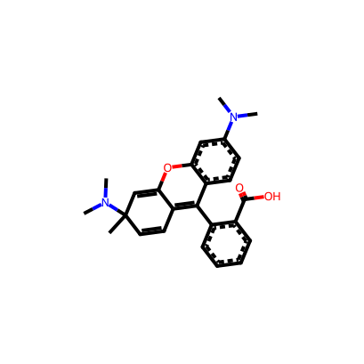 CN(C)c1ccc2c(c1)OC1=CC(C)(N(C)C)C=CC1=C2c1ccccc1C(=O)O